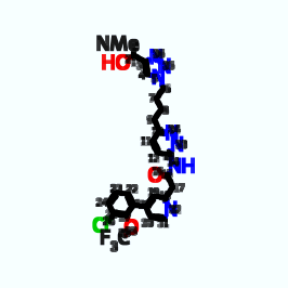 CNC(O)c1cn(CCCCc2ccc(NC(=O)Cc3cc(-c4cccc(Cl)c4OC(F)(F)F)ccn3)nn2)nn1